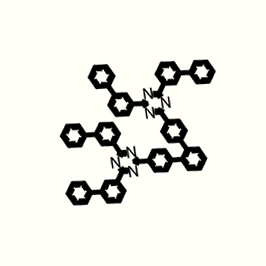 c1ccc(-c2cccc(-c3nc(-c4ccc(-c5ccccc5-c5ccc(-c6nc(-c7cccc(-c8ccccc8)c7)nc(-c7cccc(-c8ccccc8)c7)n6)cc5)cc4)nc(-c4cccc(-c5ccccc5)c4)n3)c2)cc1